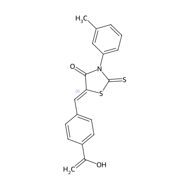 C=C(O)c1ccc(/C=C2\SC(=S)N(c3cccc(C)c3)C2=O)cc1